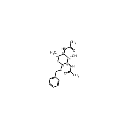 CC(=O)N[C@H]1[C@@H](OCc2ccccc2)O[C@H](C)[C@@H](NC(C)=O)[C@@H]1O